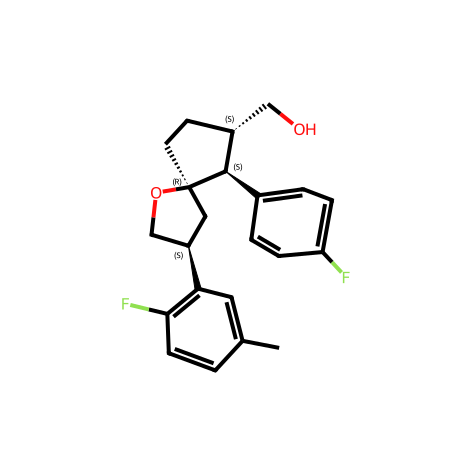 Cc1ccc(F)c([C@H]2CO[C@]3(CC[C@H](CO)[C@H]3c3ccc(F)cc3)C2)c1